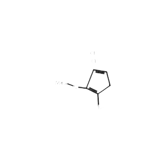 CSCC1=[C]([Ti+2])CC=C1.[Cl-].[Cl-]